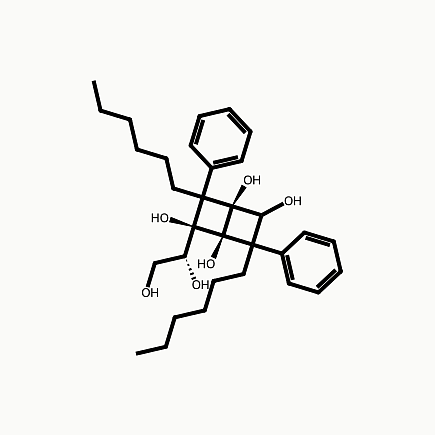 CCCCCCC1(c2ccccc2)C(O)[C@@]2(O)C(CCCCCC)(c3ccccc3)[C@@](O)([C@H](O)CO)[C@@]12O